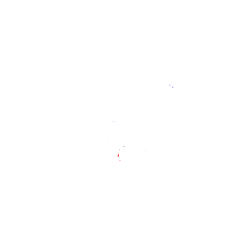 CC(C)CN(C[C@@H](O)[C@H](Cc1ccccc1)NC(=O)O)C(=O)c1ccc2nc(C(C)C)oc2c1